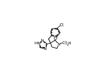 O=C(O)N1CCC(Cc2ccc(Cl)cc2)(c2nc[nH]n2)C1Cl